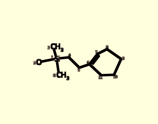 C[Si](C)([O])CCC1=CCCCC1